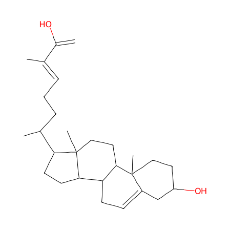 C=C(O)/C(C)=C/CCC(C)C1CCC2C3CC=C4CC(O)CCC4(C)C3CCC12C